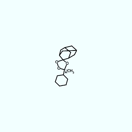 C[C@]1(C2CCCCC2)OOC2(O1)C1CC3CC(C1)CC2C3